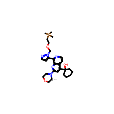 C[C@@H]1COCCN1c1cc(C2(O)CCCCC2)c2ccnc(-c3ccnn3COCCS(C)(C)C)c2n1